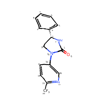 O=C1N[C@@H](c2ccccc2)CN1c1ccc(C(F)(F)F)nc1